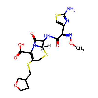 CO/N=C(\C(=O)NC1C(=O)N2C(C(=O)O)=C(SCC3CCOC3)CS[C@@H]12)c1csc(N)n1